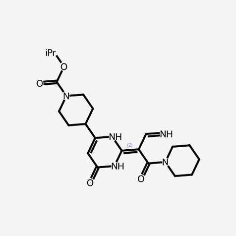 CC(C)OC(=O)N1CCC(C2=CC(=O)N/C(=C(/C=N)C(=O)N3CCCCC3)N2)CC1